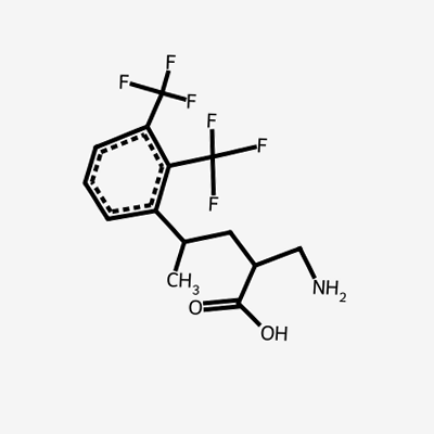 CC(CC(CN)C(=O)O)c1cccc(C(F)(F)F)c1C(F)(F)F